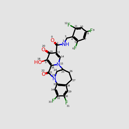 O=C(NCc1c(F)cc(F)cc1F)c1cn2c(c(O)c1=O)C(=O)N1CC2CCc2cc(F)c(F)cc21